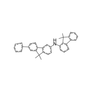 CC1(C)c2ccc(Nc3cccc4c3C(C)(C)c3ccccc3-4)cc2-c2ccc(-c3ccccc3)cc21